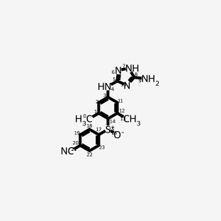 Cc1cc(Nc2n[nH]c(N)n2)cc(C)c1[S+]([O-])c1ccc(C#N)cc1